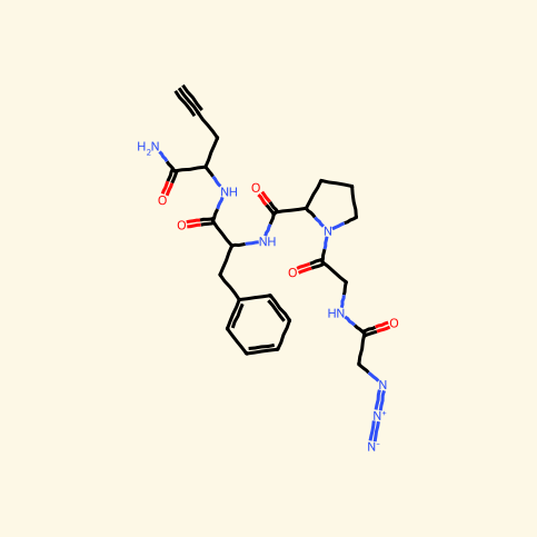 C#CCC(NC(=O)C(Cc1ccccc1)NC(=O)C1CCCN1C(=O)CNC(=O)CN=[N+]=[N-])C(N)=O